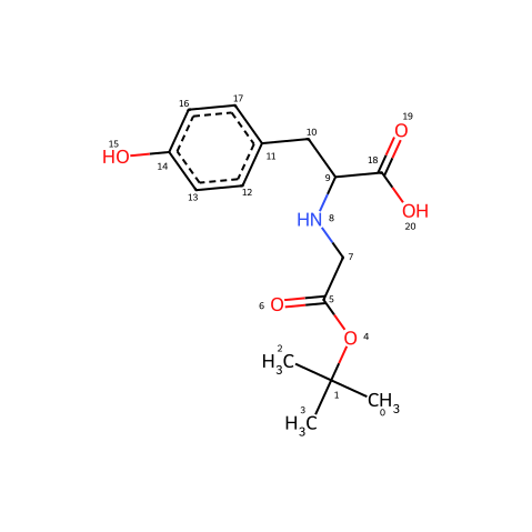 CC(C)(C)OC(=O)CNC(Cc1ccc(O)cc1)C(=O)O